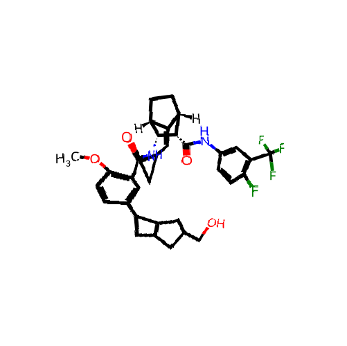 COc1ccc(C2CC3CC(CO)CC32)cc1C(=O)N[C@H]1[C@@H](C(=O)Nc2ccc(F)c(C(F)(F)F)c2)[C@H]2CC[C@@H]1/C2=C\C1CC1